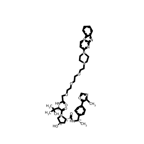 Cc1ncoc1-c1ccc([C@H](C)NC(=O)[C@@H]2C[C@@H](O)CN2C(=O)[C@@H](NC(=O)COCCOCCOCCN2CCN(c3ccn4c(n3)nc3ccccc34)CC2)C(C)(C)C)cc1